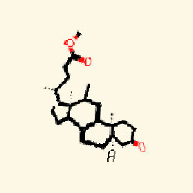 COC(=O)CC[C@@H](C)[C@H]1CCC2C3CC[C@@H]4CC(=O)CC[C@]4(C)C3C[C@H](C)[C@@]21C